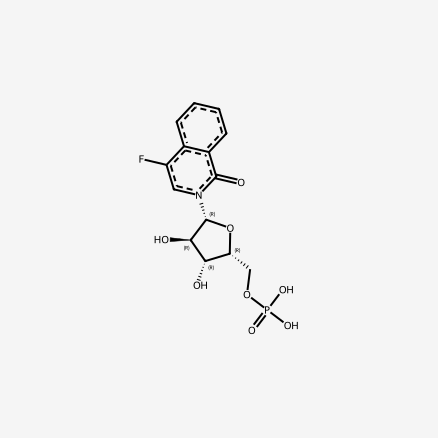 O=c1c2ccccc2c(F)cn1[C@@H]1O[C@H](COP(=O)(O)O)[C@H](O)[C@H]1O